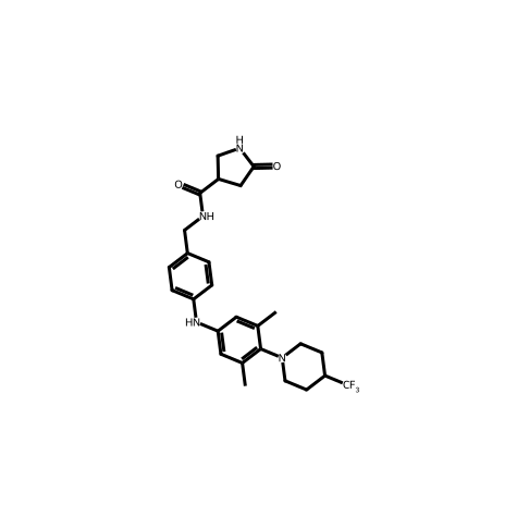 Cc1cc(Nc2ccc(CNC(=O)C3CNC(=O)C3)cc2)cc(C)c1N1CCC(C(F)(F)F)CC1